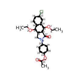 CCOc1c2c(c(OCC)c3cc(Cl)ccc13)C(=O)N(c1ccc(OC(C)=O)cc1)C2